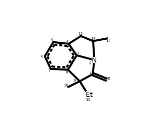 C=C1N2c3c(cccc3C1(C)CC)CC2C